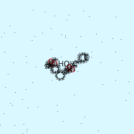 C1CCCCCCCCC1.C1CCCCCCCCC1.C=C(C)C(=O)OC1CC2CCC1(C)C2(C)C.C=CC(=O)OC1CC2CCC1(C)C2(C)C.O=C(O)C=CC1CCCCCCCCC1